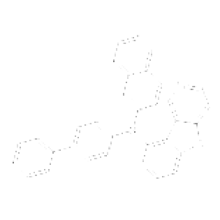 c1ccc(-c2ccc(N(c3ccc4ccccc4c3)c3cccc4sc5ccncc5c34)cc2)cc1